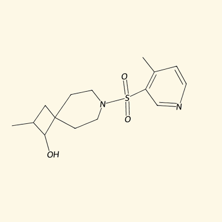 Cc1ccncc1S(=O)(=O)N1CCC2(CC1)CC(C)C2O